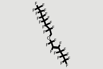 FC(=C(F)C(F)(F)C(F)(F)C(F)(F)F)C(F)(F)OCC(F)(F)C(F)(F)C(F)(F)C(F)(F)C(F)(F)C(F)(F)F